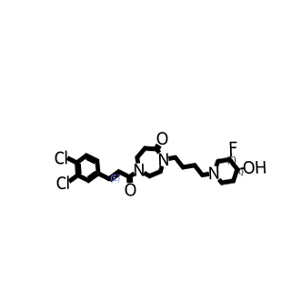 O=C(/C=C/c1ccc(Cl)c(Cl)c1)N1CCC(=O)N(CCCCN2CC[C@@H](O)[C@@H](F)C2)CC1